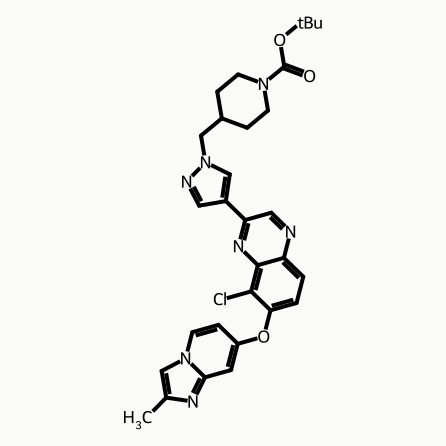 Cc1cn2ccc(Oc3ccc4ncc(-c5cnn(CC6CCN(C(=O)OC(C)(C)C)CC6)c5)nc4c3Cl)cc2n1